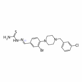 NC(=S)N/N=C/c1ccc(N2CCN(Cc3cccc(Cl)c3)CC2)c(Br)c1